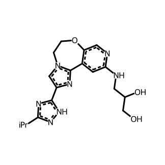 CC(C)c1n[nH]c(-c2cn3c(n2)-c2cc(NCC(O)CO)ncc2OCC3)n1